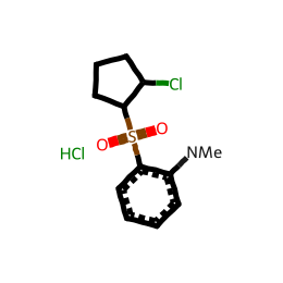 CNc1ccccc1S(=O)(=O)C1CCCC1Cl.Cl